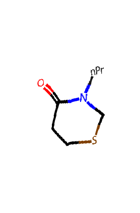 CCCN1CSCCC1=O